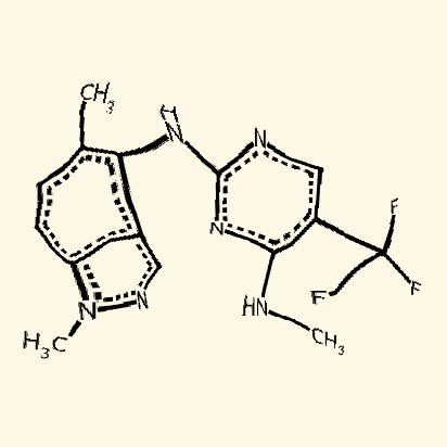 CNc1nc(Nc2c(C)ccc3c2cnn3C)ncc1C(F)(F)F